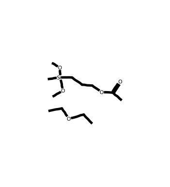 CCOCC.CO[Si](C)(CCCOC(C)=O)OC